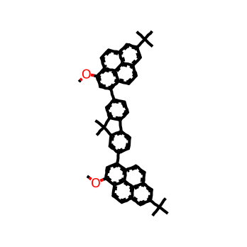 COc1cc(-c2ccc3c(c2)C(C)(C)c2cc(-c4cc(OC)c5ccc6cc(C(C)(C)C)cc7ccc4c5c67)ccc2-3)c2ccc3cc(C(C)(C)C)cc4ccc1c2c43